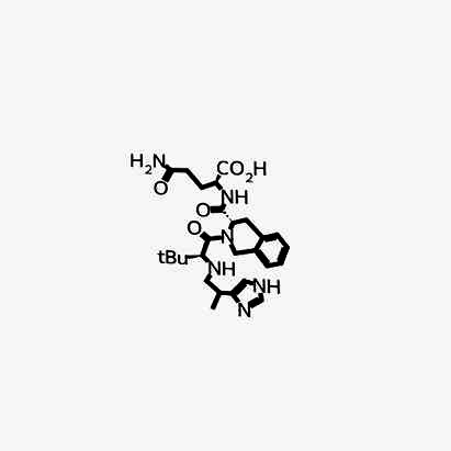 CC(CN[C@H](C(=O)N1Cc2ccccc2C[C@H]1C(=O)N[C@@H](CCC(N)=O)C(=O)O)C(C)(C)C)c1c[nH]cn1